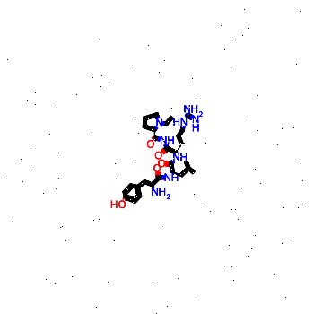 CCN1CCC[C@H]1C(=O)NC(=O)[C@H](CCCNC(=N)N)NC(=O)[C@@H](CC(C)C)NC(=O)[C@@H](N)Cc1ccc(O)cc1